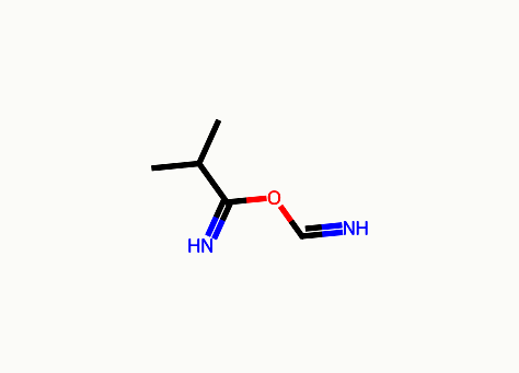 CC(C)C(=N)OC=N